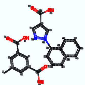 Cc1cc(C(=O)O)cc(C(=O)O)c1.O=C(O)c1cnn(-c2cccc3ccccc23)c1